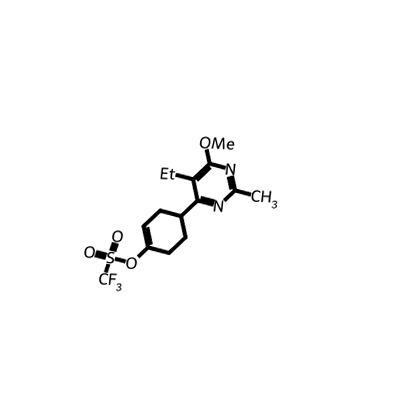 CCc1c(OC)nc(C)nc1C1CC=C(OS(=O)(=O)C(F)(F)F)CC1